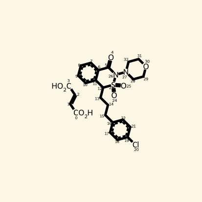 O=C(O)/C=C/C(=O)O.O=C1c2ccccc2C(CCCc2ccc(Cl)cc2)S(=O)(=O)N1N1CCOCC1